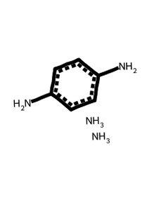 N.N.Nc1ccc(N)cc1